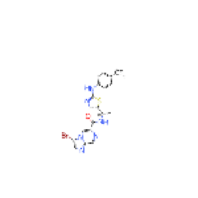 C[C@@H](NC(=O)c1cn2c(Br)cnc2cn1)c1cnc(Nc2ccc(C(F)(F)F)cc2)s1